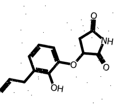 C=CCc1cccc(OC2CC(=O)NC2=O)c1O